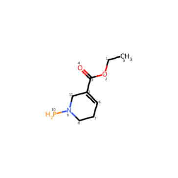 CCOC(=O)C1=CCCN(P)C1